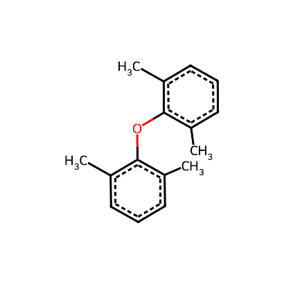 Cc1cccc(C)c1Oc1c(C)cccc1C